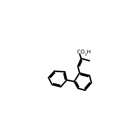 C/C(=C\c1ccccc1-c1ccccc1)C(=O)O